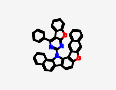 c1ccc(-c2nc(-n3c4c5ccccc5ccc4c4ccc5oc6cc7ccccc7cc6c5c43)nc3oc4ccccc4c23)cc1